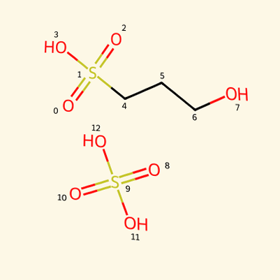 O=S(=O)(O)CCCO.O=S(=O)(O)O